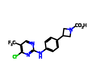 O=C(O)N1CC(c2ccc(Nc3ncc(C(F)(F)F)c(Cl)n3)cc2)C1